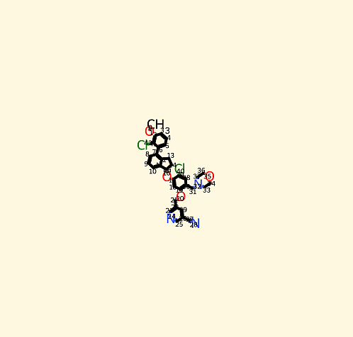 COc1cccc(-c2cccc3c2CC[C@@H]3Oc2cc(OCc3cncc(C#N)c3)c(CN3CCOCC3)cc2Cl)c1Cl